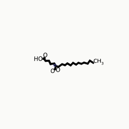 CCCCCCCCCCCCCC1OC(=O)/C1=C\CCCC(=O)O